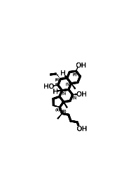 CC[C@H]1[C@@H](O)[C@H]2C3CC[C@H]([C@H](C)CCCO)[C@@]3(C)C[C@H](O)C2[C@@]2(C)CC[C@@H](O)C[C@@H]12